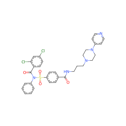 O=C(NCCCN1CCN(c2ccncc2)CC1)c1ccc(S(=O)(=O)N(C(=O)c2ccc(Cl)cc2Cl)c2ccccc2)cc1